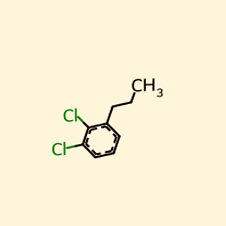 CCCc1cccc(Cl)c1Cl